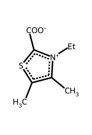 CC[n+]1c(C(=O)[O-])sc(C)c1C